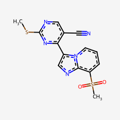 CSc1ncc(C#N)c(-c2cnc3c(S(C)(=O)=O)cccn23)n1